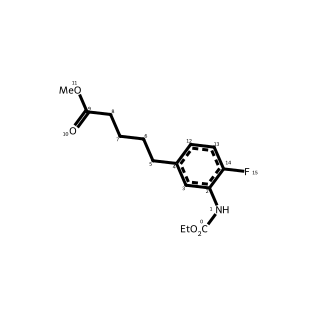 CCOC(=O)Nc1cc(CCCCC(=O)OC)ccc1F